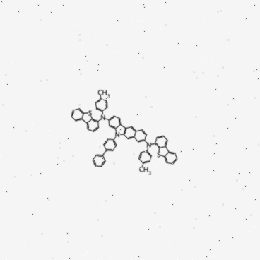 Cc1ccc(N(c2ccc3cc4c5ccc(N(c6ccc(C)cc6)c6cccc7c6sc6ccccc67)cc5n(-c5ccc(-c6ccccc6)cc5)c4cc3c2)c2cccc3c2sc2ccccc23)cc1